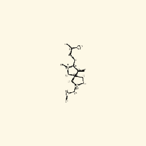 C=C1C(CCC(C)Cl)N(C)CC12CCN(COC)C2